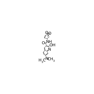 CN(C)c1ccc2cc(C(=O)NC3C=CS(=O)(=O)C3)c(O)nc2c1